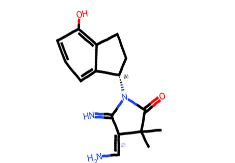 CC1(C)C(=O)N([C@H]2CCc3c(O)cccc32)C(=N)/C1=C\N